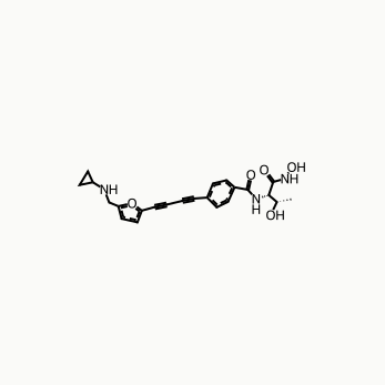 C[C@H](O)[C@H](NC(=O)c1ccc(C#CC#Cc2ccc(CNC3CC3)o2)cc1)C(=O)NO